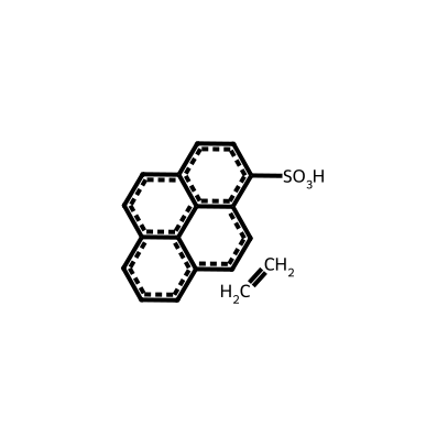 C=C.O=S(=O)(O)c1ccc2ccc3cccc4ccc1c2c34